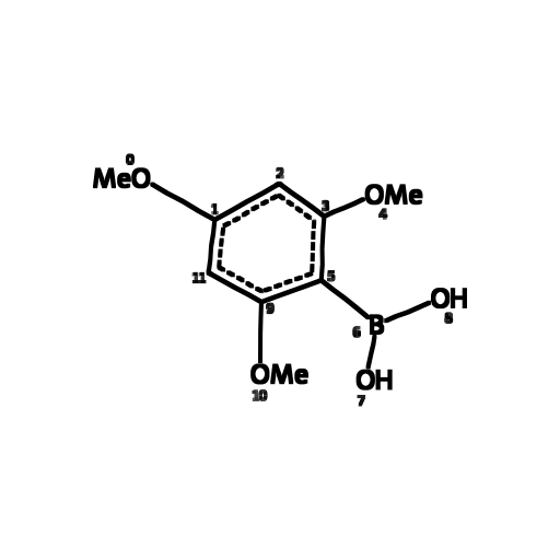 COc1cc(OC)c(B(O)O)c(OC)c1